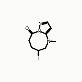 CN1CC(I)CCC(=O)n2nccc21